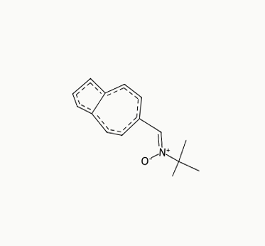 CC(C)(C)[N+]([O-])=Cc1ccc2cccc-2cc1